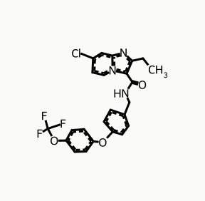 CCc1nc2cc(Cl)ccn2c1C(=O)NCc1ccc(Oc2ccc(OC(F)(F)F)cc2)cc1